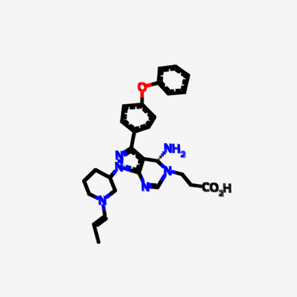 CC=CN1CCCC(n2nc(-c3ccc(Oc4ccccc4)cc3)c3c2N=CN(CCC(=O)O)[C@H]3N)C1